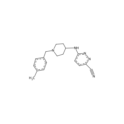 Cc1ccc(CN2CCC(Nc3ccc(C#N)nn3)CC2)cc1